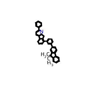 CC1(C)c2ccccc2-c2ccc(-c3cccc(-c4cccc5c4Cc4nc(-c6ccccc6)ccc4-5)c3)cc21